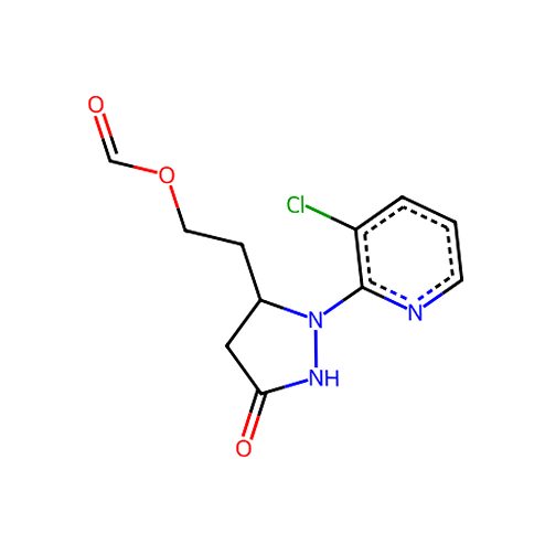 O=COCCC1CC(=O)NN1c1ncccc1Cl